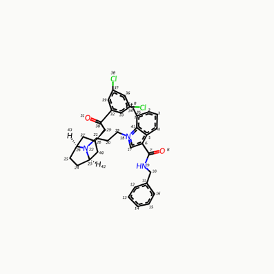 CCc1cccc2c(C(=O)NCc3ccccc3)cn(CCCN3[C@@H]4CC[C@H]3C[C@@H](CC(=O)c3cc(Cl)cc(Cl)c3)C4)c12